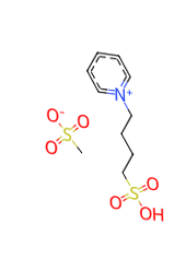 CS(=O)(=O)[O-].O=S(=O)(O)CCCC[n+]1ccccc1